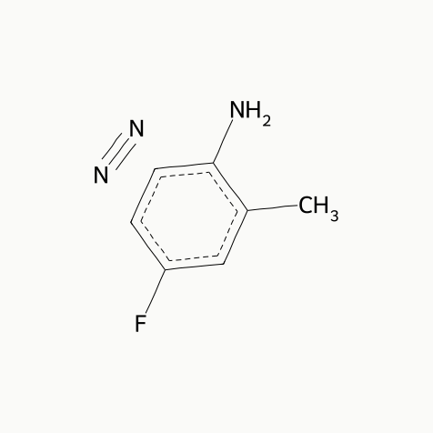 Cc1cc(F)ccc1N.N#N